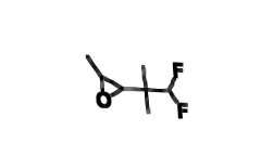 CC1OC1C(C)(C)C(F)F